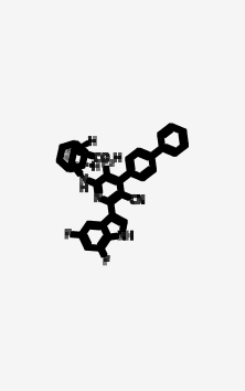 N#Cc1c(-c2c[nH]c3c(F)cc(F)cc23)nc(N[C@H]2C3CCC(CC3)[C@@H]2C(=O)O)c(F)c1-c1ccc(-c2ccccc2)cc1